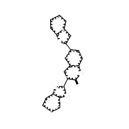 O=c1[nH]c2ccc(-c3cc4ccccc4s3)cc2cc1-c1nc2ccccc2[nH]1